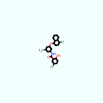 O=C(Nc1cc(Oc2ccc(Cl)c3ccccc23)cc(C(F)(F)F)c1)c1cc(Cl)ccc1O